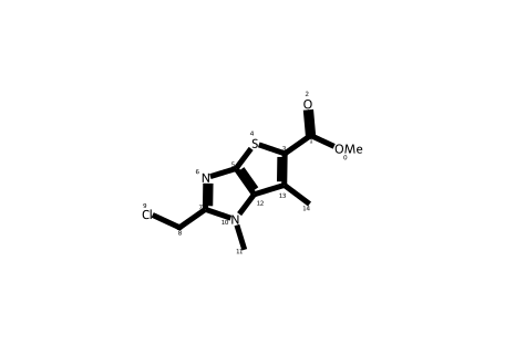 COC(=O)c1sc2nc(CCl)n(C)c2c1C